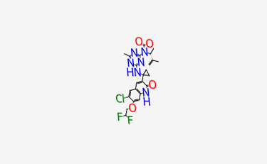 C=C(C)[C@H]1COC(=O)N1c1nc(C)nc(NC2(c3cc4cc(Cl)c(OCC(F)F)cc4[nH]c3=O)CC2)n1